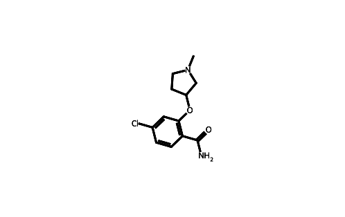 CN1CCC(Oc2cc(Cl)ccc2C(N)=O)C1